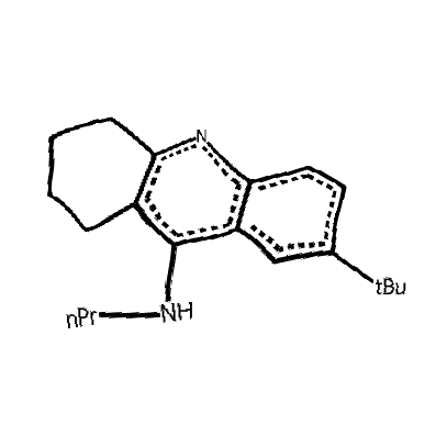 CCCNc1c2c(nc3ccc(C(C)(C)C)cc13)CCCC2